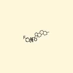 CC1CCC2C(CCC3C2CCC2(C)C(C(=O)Cn4ncc5ccc(F)cc54)CCC32)C1